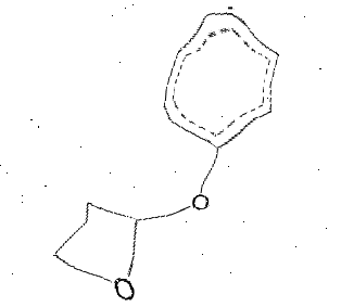 [c]1ccc(OC2CCO2)cc1